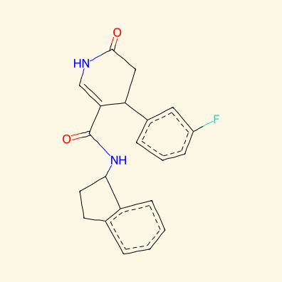 O=C1CC(c2cccc(F)c2)C(C(=O)NC2CCc3ccccc32)=CN1